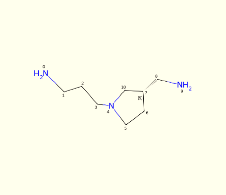 NCCCN1CC[C@@H](CN)C1